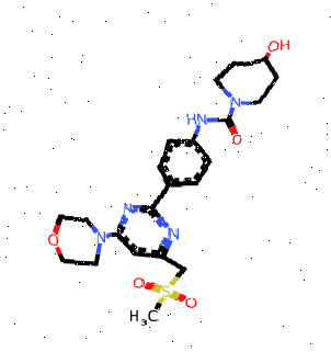 CS(=O)(=O)Cc1cc(N2CCOCC2)nc(-c2ccc(NC(=O)N3CCC(O)CC3)cc2)n1